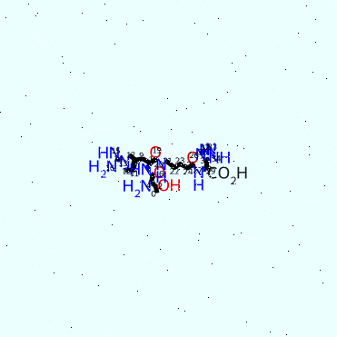 CC(O)C(N)C(=O)NC(CC1=CCN(C(=N)N)C1)C(=O)NCCCCC(=O)NC(C(=O)O)c1nnn[nH]1